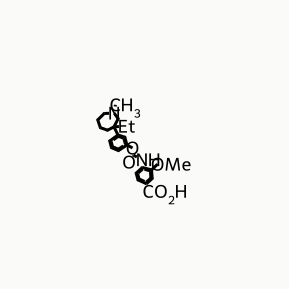 CCC1(c2cccc(OC(=O)Nc3ccc(C(=O)O)cc3OC)c2)CCCCN(C)C1